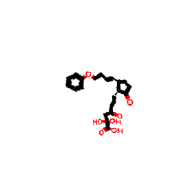 O=C(CCC[C@H]1C(=O)CC[C@@H]1/C=C/CCOc1ccccc1)CC(O)(O)C(=O)O